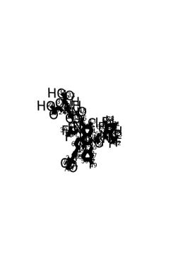 CC(C)(C#Cc1ccc(-c2ccc(Cl)c3c(CS(=O)(=O)NC(=O)[C@H](CCC(=O)O)NC(=O)C(=O)O)nn(CC(F)(F)F)c23)c([C@H](Cc2cc(F)cc(F)c2)NC(=O)Cn2nc(C(F)(F)F)c3c2C(F)(F)[C@@H]2C[C@H]32)n1)S(C)(=O)=O